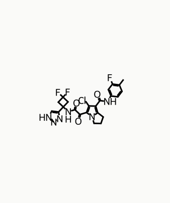 Cc1ccc(NC(=O)c2c(Cl)c(C(=O)C(=O)NC3(c4c[nH]nn4)CC(F)(F)C3)n3c2CCC3)cc1F